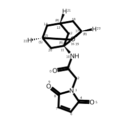 O=C(CN1C(=O)C=CC1=O)N[C@@]12C[C@@H]3C[C@@H](C[C@H](C3)O1)C2